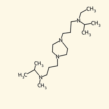 CCN(CCCN1CCN(CCCN(C)C(C)C)CC1)C(C)C